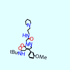 COc1cccc(-c2cnn(CC(=O)NCCCN3CCCCC3)c(=O)c2CC(=O)NC(C)(C)C)c1